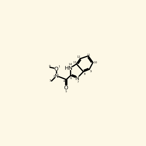 CON(C)C(=O)c1nc2ccccc2[nH]1